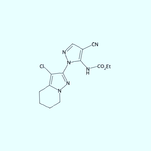 CCOC(=O)Nc1c(C#N)cnn1-c1nn2c(c1Cl)CCCC2